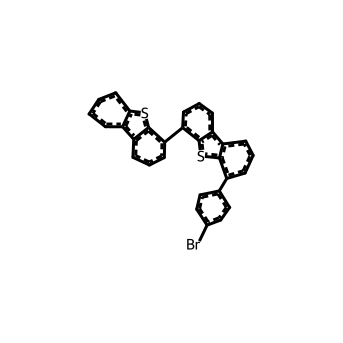 Brc1ccc(-c2cccc3c2sc2c(-c4cccc5c4sc4ccccc45)cccc23)cc1